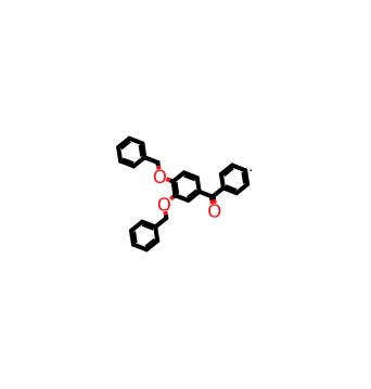 O=C(c1cc[c]cc1)c1ccc(OCc2ccccc2)c(OCc2ccccc2)c1